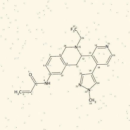 C=CC(=O)Nc1ccc2c(c1)CC(c1cnccc1-c1cnn(C)c1)N(CC(F)(F)F)C2